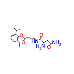 CCc1cccc(C(C)C)c1OC(=O)CCCNC(=O)[C@@H](N)CC(N)=O